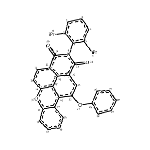 CC(C)c1cccc(C(C)C)c1-n1c(=O)c2ccc3oc4ccccc4c4c(Oc5ccccc5)cc(c1=O)c2c34